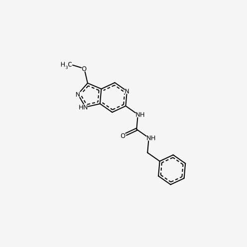 COc1n[nH]c2cc(NC(=O)NCc3ccccc3)ncc12